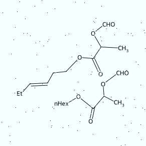 CCC=CCCOC(=O)C(C)OC=O.CCCCCCOC(=O)C(C)OC=O